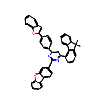 CC1(C)c2ccccc2-c2c(-c3cc(-c4ccc(-c5cc6ccccc6o5)cc4)nc(-c4ccc5c(c4)oc4ccccc45)n3)cccc21